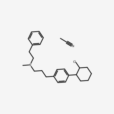 CC#N.CN(CCCc1ccc(C2CCCCC2Cl)cc1)CCc1ccccc1